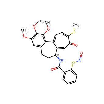 COc1cc2c(c(OC)c1OC)-c1ccc(SC)c(=O)cc1[C@@H](NC(=O)c1ccccc1SN=O)CC2